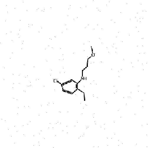 CCc1ccc(Cl)cc1NCCCOC